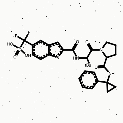 CC(C)(C)C(NC(=O)c1cc2cc(C(F)(F)P(=O)(O)O)ccc2s1)C(=O)N1CCCC1C(=O)NC1(c2ccccc2)CC1